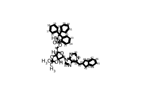 CC1(C)O[C@@H]2[C@H](O1)[C@@H](COS(=O)(=O)NC(c1ccccc1)(c1ccccc1)c1ccccc1)O[C@H]2n1cnc2c(CC3Cc4ccccc4C3)ncnc21